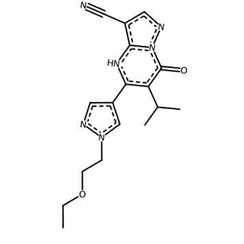 CCOCCn1cc(-c2[nH]c3c(C#N)cnn3c(=O)c2C(C)C)cn1